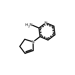 Nc1ncccc1N1C=CCC1